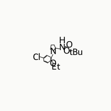 CCOc1ccc(Cl)cc1CN1CCCC1CNC(=O)OC(C)(C)C